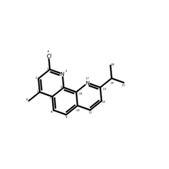 Cc1cc(Cl)nc2c1ccc1ccc(C(C)C)nc12